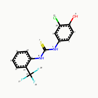 Oc1ccc(NC(=S)Nc2ccccc2C(F)(F)F)cc1Cl